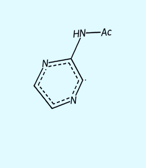 CC(=O)Nc1[c]nccn1